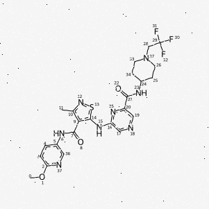 COc1ccc(NC(=O)c2c(C)nsc2Nc2cncc(C(=O)NC3CCN(CC(F)(F)F)CC3)n2)cn1